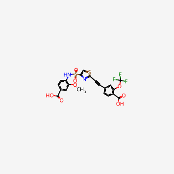 COc1cc(C(=O)O)ccc1NS(=O)(=O)c1csc(C#Cc2ccc(C(=O)O)c(OC(F)(F)F)c2)n1